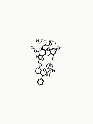 COc1ccc([C@H](Cc2c(Cl)c[n+]([O-])cc2Cl)c2oc(COc3cccc(C(NC(=O)O[C@H]4CN5CCC4CC5)c4ccccc4)c3)nc2C(=O)OC=O)cc1OC